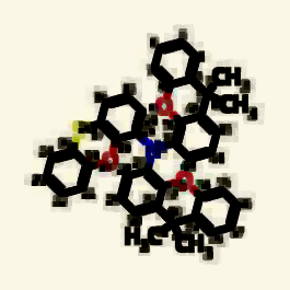 CC1(C)c2ccccc2Oc2c(N(c3cccc4c3Oc3ccccc3S4)c3cccc4c3Oc3ccccc3C4(C)C)cccc21